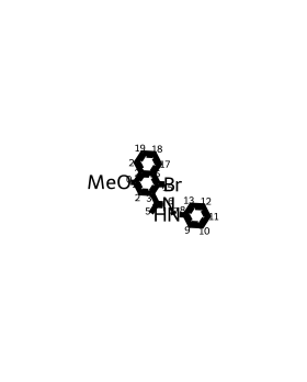 COc1cc(C(C)=NNc2ccccc2)c(Br)c2ccccc12